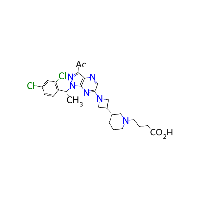 CC(=O)c1nn([C@H](C)c2ccc(Cl)cc2Cl)c2nc(N3CC([C@H]4CCCN(CCCC(=O)O)C4)C3)cnc12